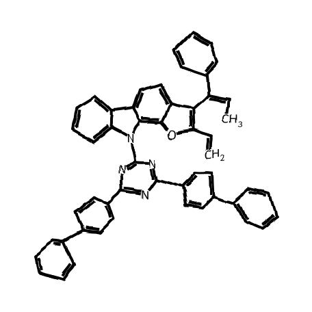 C=Cc1oc2c(ccc3c4ccccc4n(-c4nc(-c5ccc(-c6ccccc6)cc5)nc(-c5ccc(-c6ccccc6)cc5)n4)c32)c1/C(=C\C)c1ccccc1